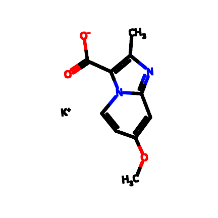 COc1ccn2c(C(=O)[O-])c(C)nc2c1.[K+]